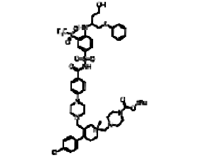 CC(C)(C)OC(=O)N1CCN(C[C@]2(C)CCC(c3ccc(Cl)cc3)=C(CN3CCN(c4ccc(C(=O)NS(=O)(=O)c5ccc(NC(CCO)CSc6ccccc6)c(S(=O)(=O)C(F)(F)F)c5)cc4)CC3)C2)CC1